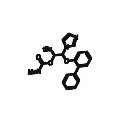 CNC(=O)OC(C(Oc1ccccc1-c1ccccc1)n1ccnc1)C(C)(C)C